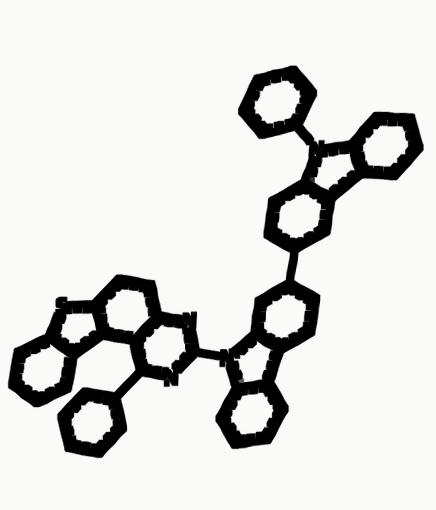 c1ccc(-c2nc(-n3c4ccccc4c4ccc(-c5ccc6c(c5)c5ccccc5n6-c5ccccc5)cc43)nc3ccc4sc5ccccc5c4c23)cc1